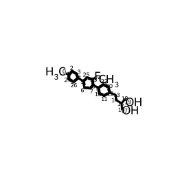 Cc1ccc(-c2ccc(-c3ccc(CCC(CO)CO)cc3C)c(F)c2)cc1